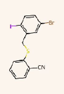 N#Cc1ccccc1SCc1cc(Br)ccc1I